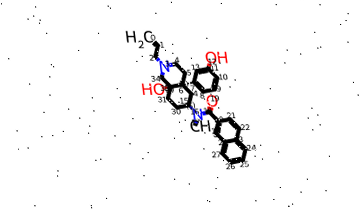 C=CCN1CC[C@@]2(c3cccc(O)c3)C[C@@H](N(C)C(=O)c3ccc4ccccc4c3)CC[C@]2(O)C1